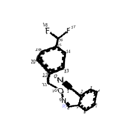 N#Cc1ccccc1/[C]=N\OCc1ccc(C(F)F)cc1